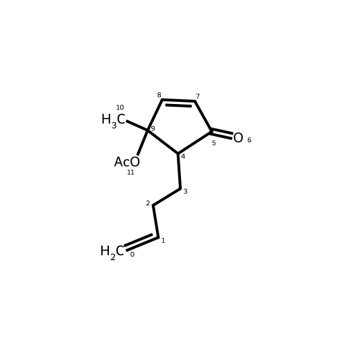 C=CCCC1C(=O)C=CC1(C)OC(C)=O